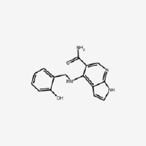 NC(=O)c1cnc2[nH]ccc2c1NCc1ccccc1O